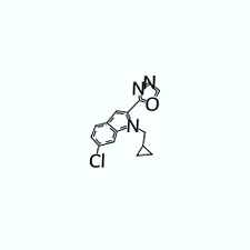 Clc1ccc2cc(-c3nnco3)n(CC3CC3)c2c1